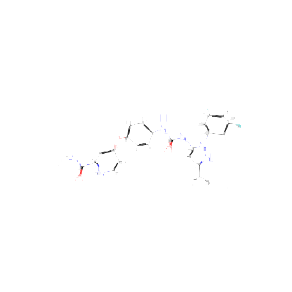 CNC(=O)c1cc(Oc2ccc(NC(=O)Nc3cc(C(C)C)nn3-c3cc(F)cc(F)c3)cc2)ccn1